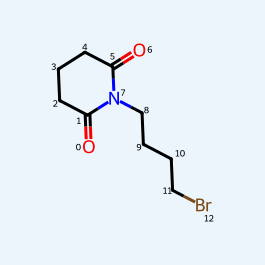 O=C1CCCC(=O)N1CCCCBr